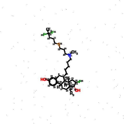 CN(CCCCC[C@@H]1Cc2cc(O)ccc2[C@H]2CC[C@]3(C)[C@@H](O)[C@H](F)C[C@H]3[C@H]12)CCCSCCCC(F)(F)C(F)(F)F